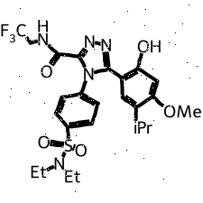 CCN(CC)S(=O)(=O)c1ccc(-n2c(C(=O)NCC(F)(F)F)nnc2-c2cc(C(C)C)c(OC)cc2O)cc1